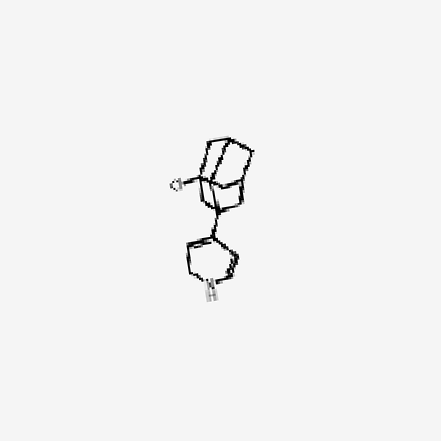 ClC12CC3CC(C1)CC(C1=CCN[C]=C1)(C3)C2